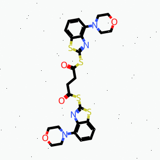 O=C(CCC(=O)Sc1nc2c(N3CCOCC3)cccc2s1)Sc1nc2c(N3CCOCC3)cccc2s1